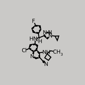 [2H][C@](Nc1cc(Cl)c2ncc(C#N)c(NC3(CC)CCC3)c2c1)(c1ccc(F)cc1)c1cn(C2CC2)nn1